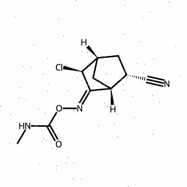 CNC(=O)O/N=C1\[C@@H](Cl)[C@@H]2C[C@H](C#N)[C@H]1C2